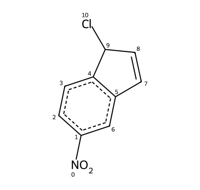 O=[N+]([O-])c1ccc2c(c1)C=CC2Cl